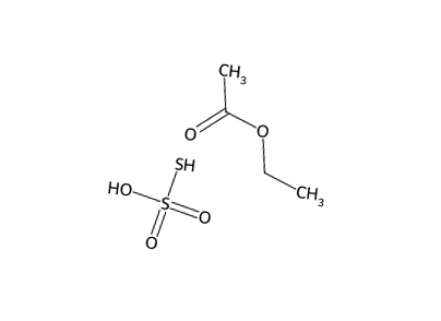 CCOC(C)=O.O=S(=O)(O)S